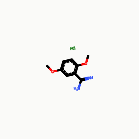 COc1ccc(OC)c(C(=N)N)c1.Cl